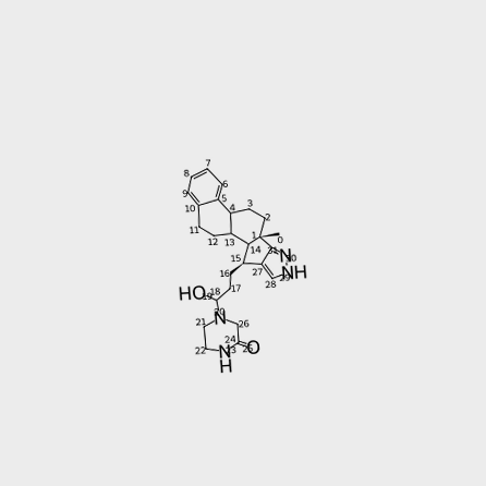 C[C@]12CCC3c4ccccc4CCC3C1[C@H](CCC(O)N1CCNC(=O)C1)c1c[nH]nc12